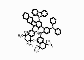 CC1(C)CCC(C)(C)c2cc(Nc3ccc(N(c4ccccc4)c4ccccc4)cc3-c3cc(-n4c5ccccc5c5ccccc54)c4c5cc6ccccc6cc5n5c4c3Bc3cc4c(cc3-5)C(C)(C)CCC4(C)C)ccc21